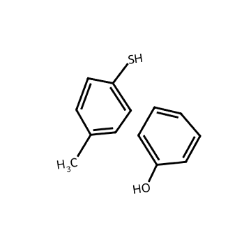 Cc1ccc(S)cc1.Oc1ccccc1